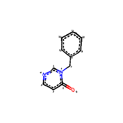 O=c1ccncn1Cc1ccccc1